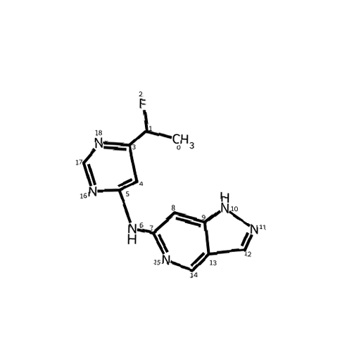 CC(F)c1cc(Nc2cc3[nH]ncc3cn2)ncn1